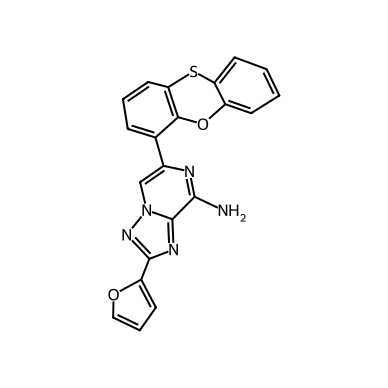 Nc1nc(-c2cccc3c2Oc2ccccc2S3)cn2nc(-c3ccco3)nc12